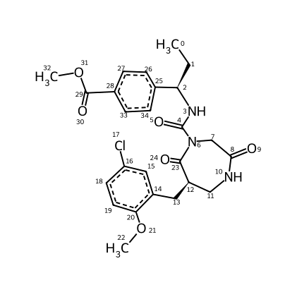 CC[C@@H](NC(=O)N1CC(=O)NC[C@@H](Cc2cc(Cl)ccc2OC)C1=O)c1ccc(C(=O)OC)cc1